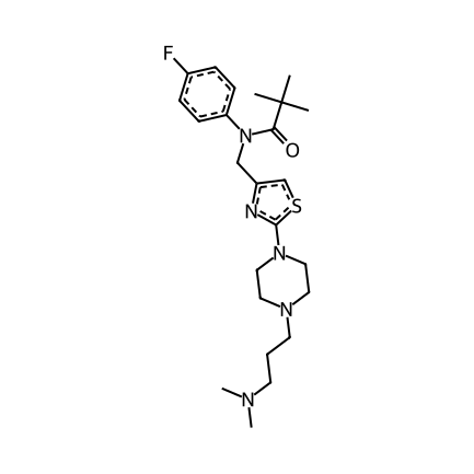 CN(C)CCCN1CCN(c2nc(CN(C(=O)C(C)(C)C)c3ccc(F)cc3)cs2)CC1